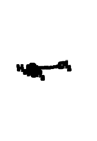 C=CCCCCCCCCCCCCCCCn1c(=O)c2c(ncn2C)n(C)c1=O